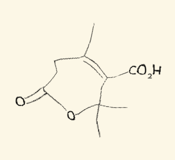 CC1=C(C(=O)O)C(C)(C)OC(=O)C1